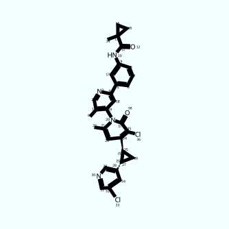 Cc1cnc(-c2cccc(NC(=O)C3(C)CC3)c2)cc1-n1c(C)cc([C@H]2C[C@@H]2c2cncc(Cl)c2)c(Cl)c1=O